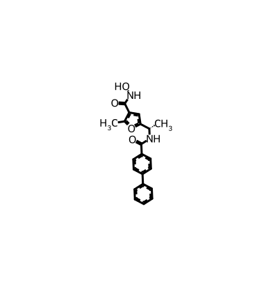 Cc1oc([C@H](C)NC(=O)c2ccc(-c3ccccc3)cc2)cc1C(=O)NO